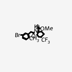 COC(=O)C1(NC(=O)Cc2cc(Br)ccc2C)CCC(C(F)(F)F)CC1